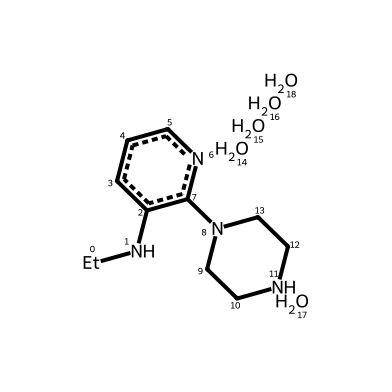 CCNc1cccnc1N1CCNCC1.O.O.O.O.O